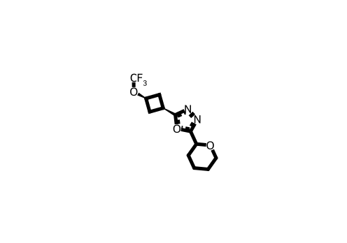 FC(F)(F)O[C@H]1C[C@@H](c2nnc(C3CCCCO3)o2)C1